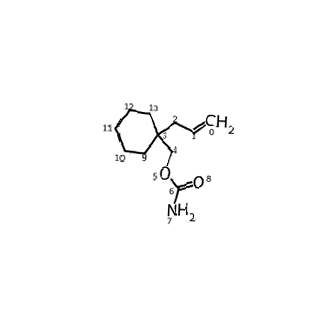 C=CCC1(COC(N)=O)CCCCC1